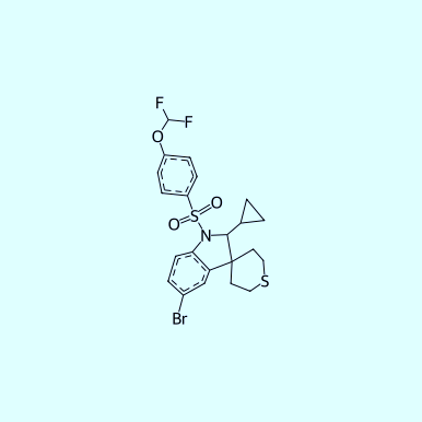 O=S(=O)(c1ccc(OC(F)F)cc1)N1c2ccc(Br)cc2C2(CCSCC2)C1C1CC1